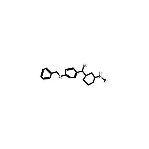 CCNC1CCCC(C(CC)c2ccc(OCc3ccccc3)cc2)C1